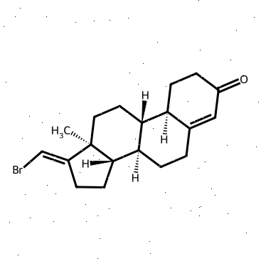 C[C@]12CC[C@H]3[C@@H](CCC4=CC(=O)CC[C@@H]43)[C@@H]1CC/C2=C\Br